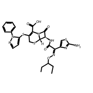 CCC(CC)O/N=C(\C(=O)N[C@@H]1C(=O)N2C(C(=O)O)=C(Sc3ccnn3-c3ccccc3)CS[C@@H]12)c1csc(N)n1